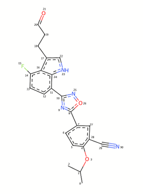 CC(C)Oc1ccc(-c2nc(-c3ccc(F)c4c(CCC=O)c[nH]c34)no2)cc1C#N